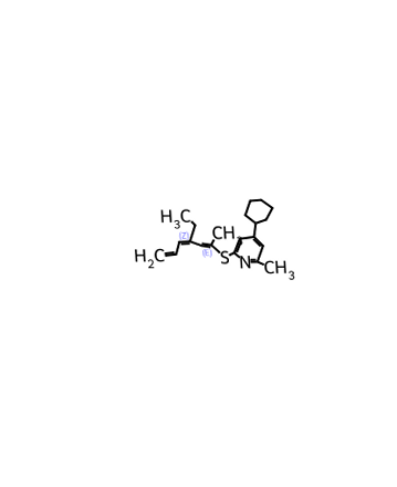 C=C/C=C(\C=C(/C)Sc1cc(C2CCCCC2)cc(C)n1)CC